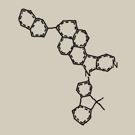 CC1(C)c2ccccc2-c2ccc(-n3c4cnccc4c4c5ccc6ccc(-c7ccc8ccccc8c7)c7ccc(cc43)c5c67)cc21